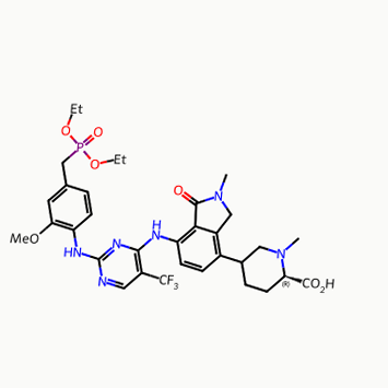 CCOP(=O)(Cc1ccc(Nc2ncc(C(F)(F)F)c(Nc3ccc(C4CC[C@H](C(=O)O)N(C)C4)c4c3C(=O)N(C)C4)n2)c(OC)c1)OCC